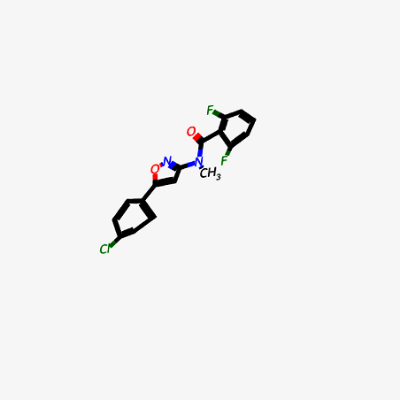 CN(C(=O)c1c(F)cccc1F)c1cc(-c2ccc(Cl)cc2)on1